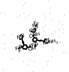 Nc1cnc(C#Cc2cc(C(=O)NC(CO)CCOC(F)(F)F)ccc2OC(F)F)cn1.O=C(O)c1ccc(OC(F)F)c(C#Cc2cncnc2)c1